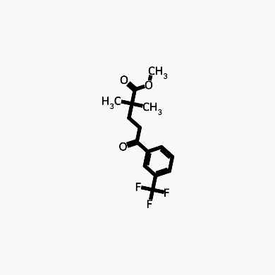 COC(=O)C(C)(C)CCC(=O)c1cccc(C(F)(F)F)c1